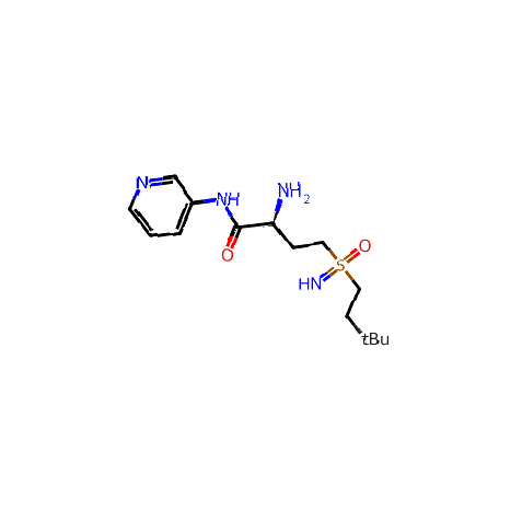 CC(C)(C)CCS(=N)(=O)CC[C@H](N)C(=O)Nc1cccnc1